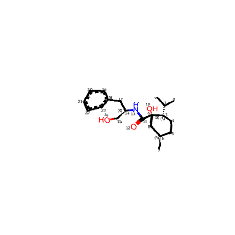 CC(C)[C@@H]1CC[C@@H](C)C[C@@]1(O)C(=O)N[C@@H](CO)Cc1ccccc1